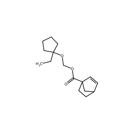 CCC1(OCOC(=O)C23C=CC(CC2)C3)CCCC1